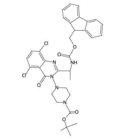 CC(NC(=O)OCC1c2ccccc2-c2ccccc21)c1nc2c(Cl)ccc(Cl)c2c(=O)n1N1CCN(C(=O)OC(C)(C)C)CC1